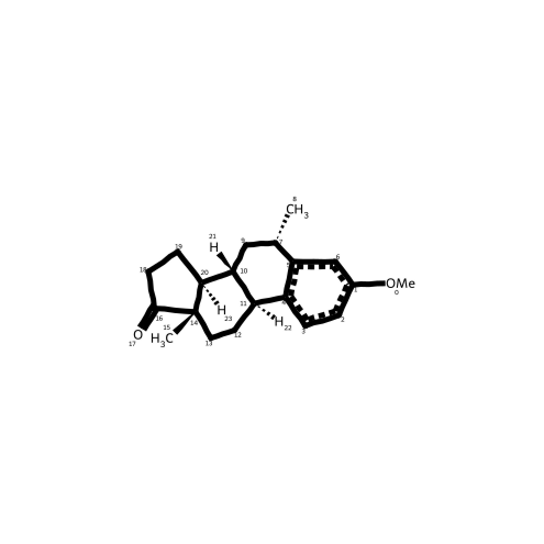 COc1ccc2c(c1)[C@@H](C)C[C@@H]1[C@@H]2CC[C@]2(C)C(=O)CC[C@@H]12